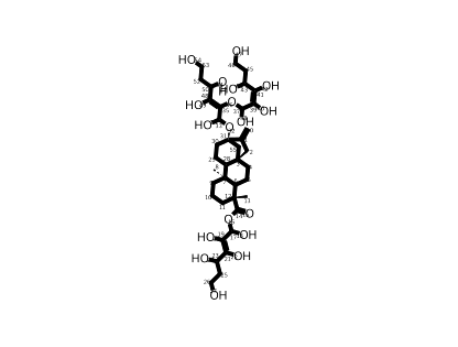 C=C1C[C@@]23CCC4[C@@](C)(CCC[C@@]4(C)C(=O)OC(O)/C(O)=C(\O)C(O)CCO)C2CC[C@]1(OC(O)/C(OC(O)/C(O)=C(/O)C(O)CCO)=C(\O)C(O)CCO)C3